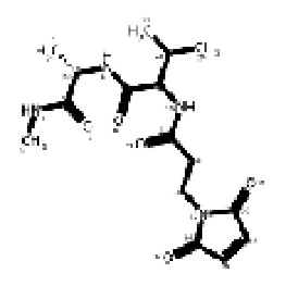 CNC(=O)[C@H](C)NC(=O)C(NC(=O)CCN1C(=O)C=CC1=O)C(C)C